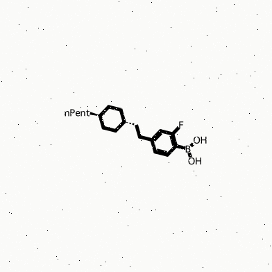 CCCCC[C@H]1CC[C@H](CCc2ccc(B(O)O)c(F)c2)CC1